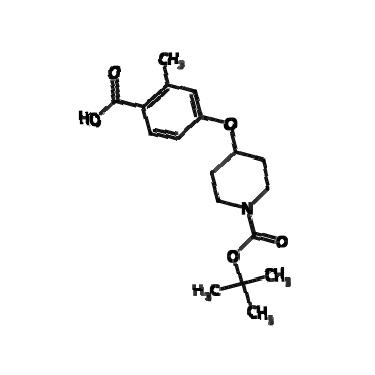 Cc1cc(OC2CCN(C(=O)OC(C)(C)C)CC2)ccc1C(=O)O